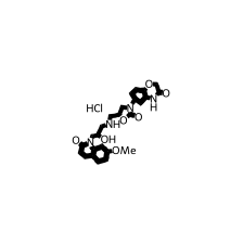 COc1ccc2ccc(=O)n(CC(O)CNCC3CN(c4ccc5c(c4)NC(=O)CO5)C(=O)O3)c2c1.Cl